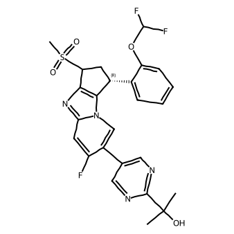 CC(C)(O)c1ncc(-c2cn3c4c(nc3cc2F)C(S(C)(=O)=O)C[C@@H]4c2ccccc2OC(F)F)cn1